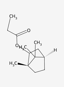 CCC(=O)OC1C[C@H]2CC[C@@]1(C)C2(C)C